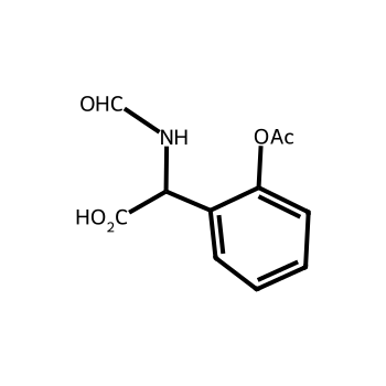 CC(=O)Oc1ccccc1C(NC=O)C(=O)O